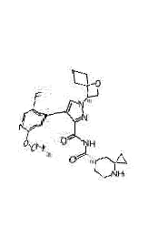 COc1cc(-c2cn([C@@H]3COC34CCC4)nc2C(=O)NC(=O)[C@H]2CCNC3(CC3)C2)c(F)cn1